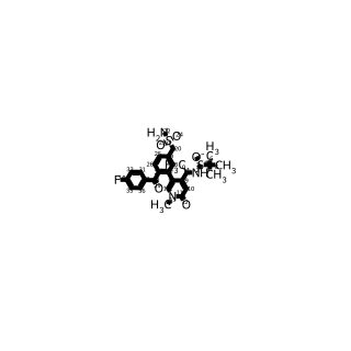 C[C@H](N[S+]([O-])C(C)(C)C)c1cc(=O)n(C)cc1-c1cc(CS(N)(=O)=O)ccc1C(=O)c1ccc(F)cc1